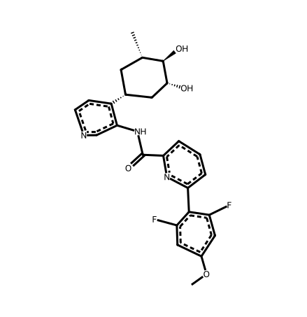 COc1cc(F)c(-c2cccc(C(=O)Nc3cnccc3[C@H]3C[C@@H](O)[C@H](O)[C@@H](C)C3)n2)c(F)c1